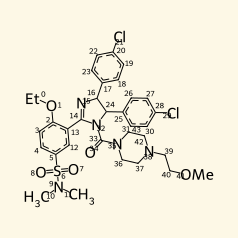 CCOc1ccc(S(=O)(=O)N(C)C)cc1C1=NC(c2ccc(Cl)cc2)C(c2ccc(Cl)cc2)N1C(=O)N1CCN(CCOC)CC1